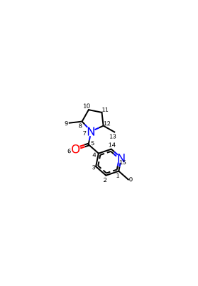 Cc1ccc(C(=O)N2C(C)CCC2C)cn1